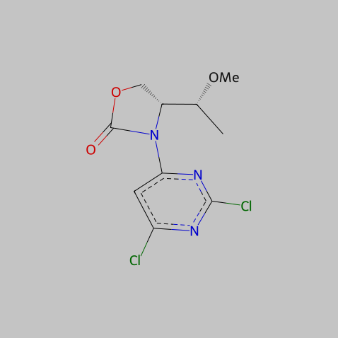 CO[C@H](C)[C@H]1COC(=O)N1c1cc(Cl)nc(Cl)n1